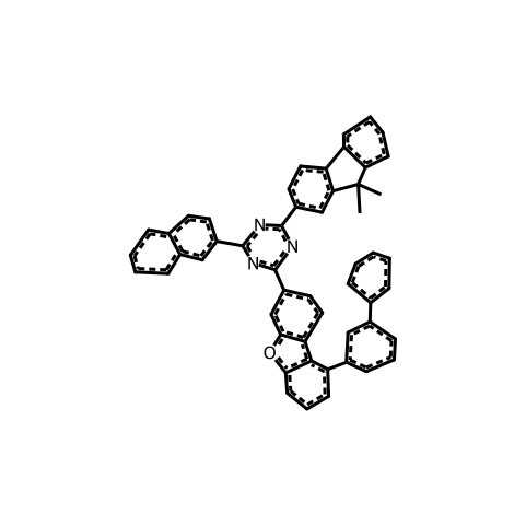 CC1(C)c2ccccc2-c2ccc(-c3nc(-c4ccc5ccccc5c4)nc(-c4ccc5c(c4)oc4cccc(-c6cccc(-c7ccccc7)c6)c45)n3)cc21